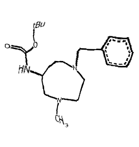 CN1CCN(Cc2ccccc2)CC(NC(=O)OC(C)(C)C)C1